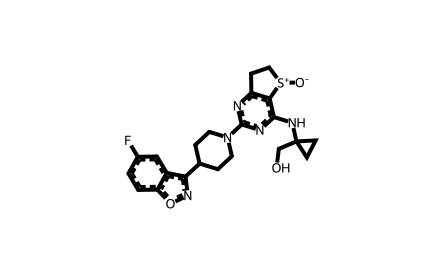 [O-][S+]1CCc2nc(N3CCC(c4noc5ccc(F)cc45)CC3)nc(NC3(CO)CC3)c21